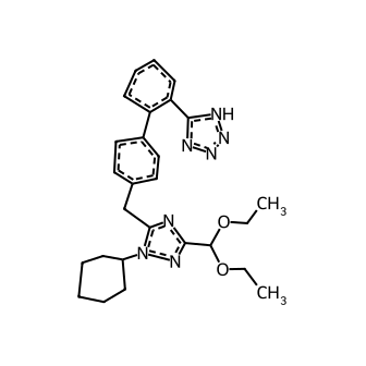 CCOC(OCC)c1nc(Cc2ccc(-c3ccccc3-c3nnn[nH]3)cc2)n(C2CCCCC2)n1